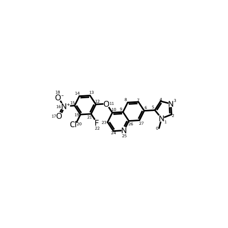 Cn1cncc1-c1ccc2c(Oc3ccc([N+](=O)[O-])c(Cl)c3F)ccnc2c1